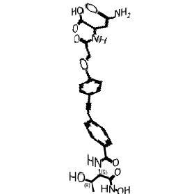 C[C@@H](O)[C@H](NC(=O)c1ccc(C#Cc2ccc(OCC(=O)NC(CC(N)=O)C(=O)O)cc2)cc1)C(=O)NO